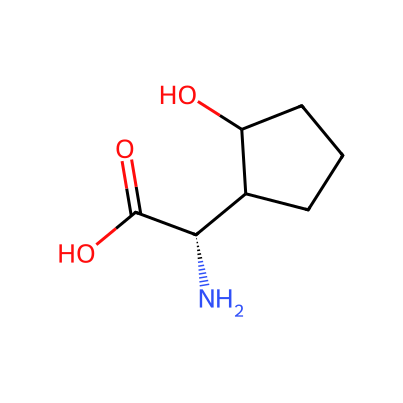 N[C@H](C(=O)O)C1CCCC1O